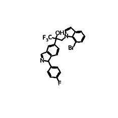 OC(Cn1ccc2cccc(Br)c21)(c1ccc2c(c1)C=NC2c1ccc(F)cc1)C(F)(F)F